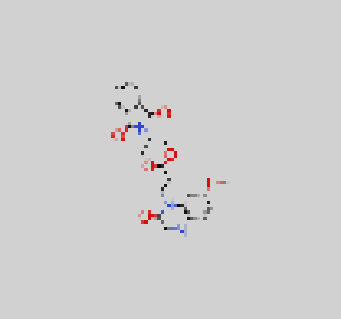 COc1ccc2ncc(=O)n(CCC3OCC(N4C(=O)c5ccccc5C4=O)CO3)c2c1